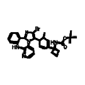 CC1C=C(C2(NC(=O)OC(C)(C)C)CCC2)C=CC1c1c(Br)nc2n1-c1cccnc1Nc1ccccc1-2